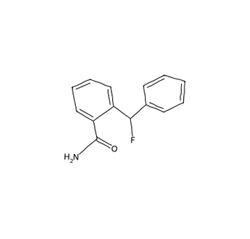 NC(=O)c1ccccc1C(F)c1ccccc1